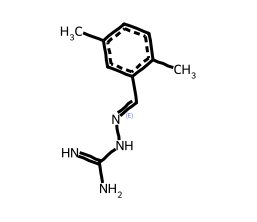 Cc1ccc(C)c(/C=N/NC(=N)N)c1